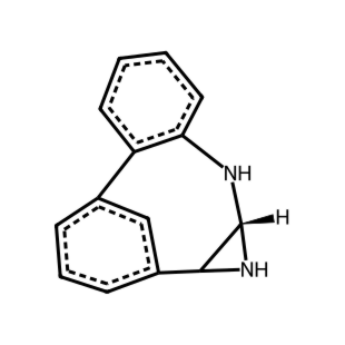 c1cc2cc(c1)C1N[C@H]1Nc1ccccc1-2